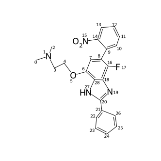 CN(C)CCOc1cc(-c2ccccc2[N+](=O)[O-])c(F)c2nc(-c3ccccc3)[nH]c12